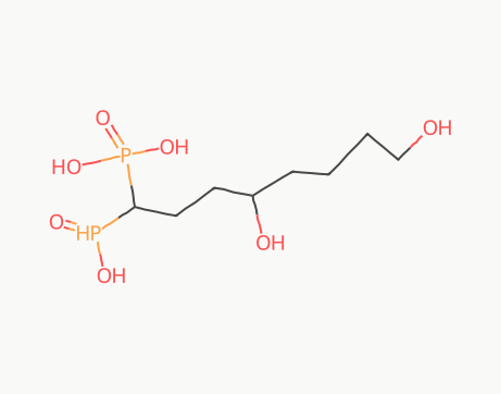 O=[PH](O)C(CCC(O)CCCCO)P(=O)(O)O